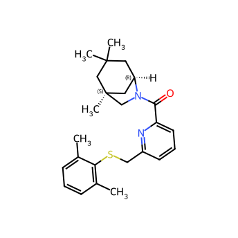 Cc1cccc(C)c1SCc1cccc(C(=O)N2C[C@]3(C)C[C@H]2CC(C)(C)C3)n1